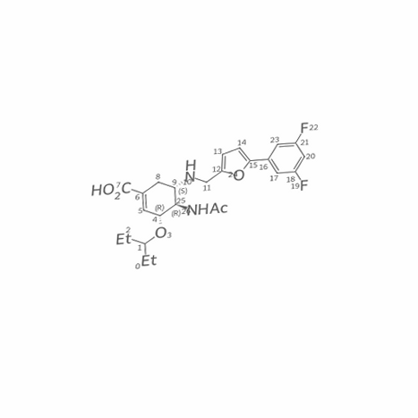 CCC(CC)O[C@@H]1C=C(C(=O)O)C[C@H](NCc2ccc(-c3cc(F)cc(F)c3)o2)[C@H]1NC(C)=O